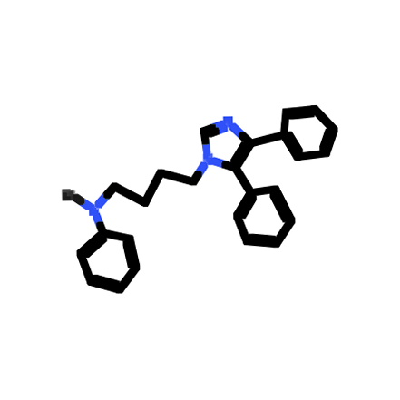 CCN(CCCCn1cnc(-c2ccccc2)c1-c1ccccc1)c1ccccc1